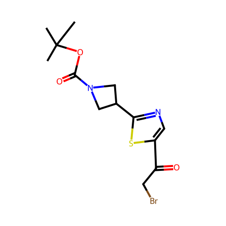 CC(C)(C)OC(=O)N1CC(c2ncc(C(=O)CBr)s2)C1